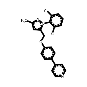 FC(F)(F)c1cc(COc2ccc(-c3ccncc3)cc2)n(-c2c(Cl)cccc2Cl)n1